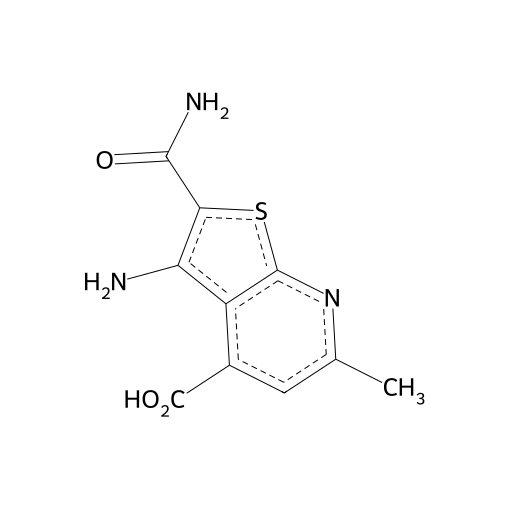 Cc1cc(C(=O)O)c2c(N)c(C(N)=O)sc2n1